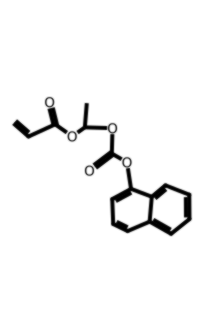 C=CC(=O)OC(C)OC(=O)Oc1cccc2ccccc12